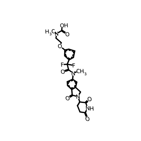 CN(CCOc1cccc(C(F)(F)C(=O)N(C)c2ccc3c(c2)CN(C2CCC(=O)NC2=O)C3=O)c1)C(=O)O